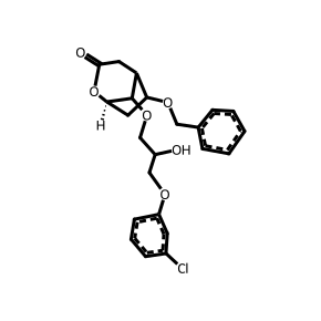 O=C1CC2C(OCc3ccccc3)C[C@@H](O1)C2OCC(O)COc1cccc(Cl)c1